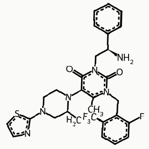 Cc1c(N2CCN(c3nccs3)CC2C)c(=O)n(C[C@H](N)c2ccccc2)c(=O)n1Cc1c(F)cccc1C(F)(F)F